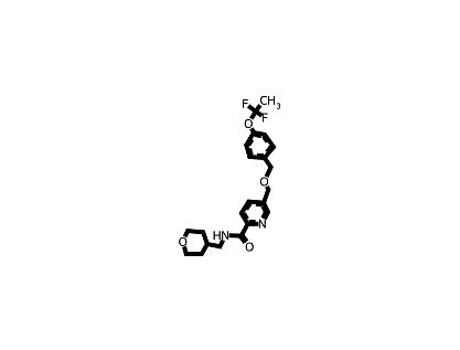 CC(F)(F)Oc1ccc(COCc2ccc(C(=O)NCC3CCOCC3)nc2)cc1